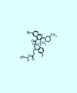 CCCC(F)OC(=O)CCC(CNC(=O)c1c(C)c(N2CCCC(C)C2)nc2ccc(Br)cc12)c1cc(F)ccc1Cl